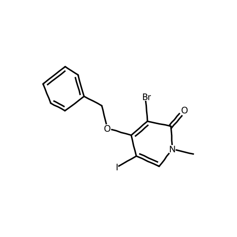 Cn1cc(I)c(OCc2ccccc2)c(Br)c1=O